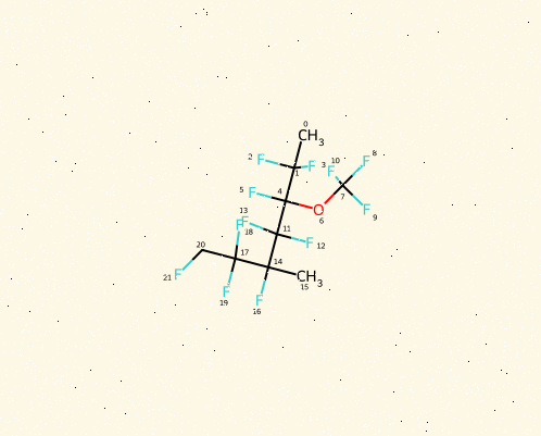 CC(F)(F)C(F)(OC(F)(F)F)C(F)(F)C(C)(F)C(F)(F)CF